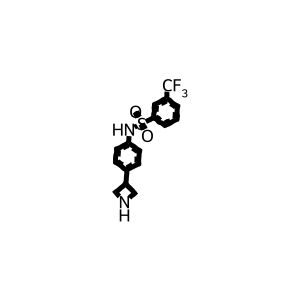 O=S(=O)(Nc1ccc(C2CNC2)cc1)c1cccc(C(F)(F)F)c1